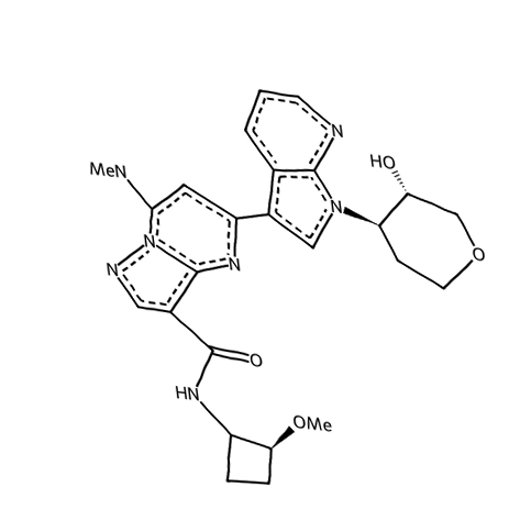 CNc1cc(-c2cn([C@@H]3CCOC[C@H]3O)c3ncccc23)nc2c(C(=O)NC3CC[C@@H]3OC)cnn12